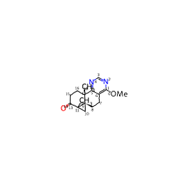 COc1ncnc2c1CC[C@@]13CC1(C)C(=O)CC[C@]23C